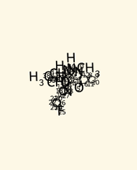 CN1C2=C(C(=O)CC3(CCCC3)C2)C(/C=C/c2ccc(-c3cccc(F)c3)cn2)c2c(C(=O)NCC(C)(C)C)n[nH]c21